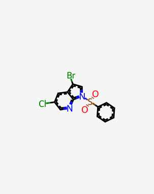 O=S(=O)(c1ccccc1)n1cc(Br)c2cc(Cl)cnc21